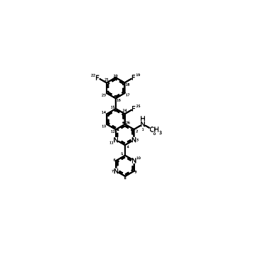 CNc1nc(-c2cnccn2)nc2ccc(-c3cc(F)cc(F)c3)c(F)c12